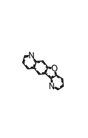 c1cnc2cc3oc4cccnc4c3cc2c1